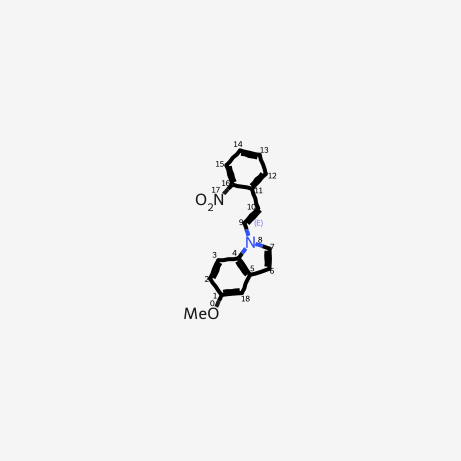 COc1ccc2c(ccn2/C=C/c2ccccc2[N+](=O)[O-])c1